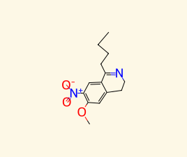 CCCCC1=NCCc2cc(OC)c([N+](=O)[O-])cc21